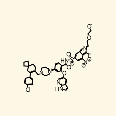 COCCOCCn1cc2cc(S(=O)(=O)NC(=O)c3ccc(N4CCN(CC5=C(c6ccc(Cl)cc6)CC6(CCC6)CC5)CC4)cc3Oc3cnc4[nH]ccc4c3)cc([N+](=O)[O-])c2c1F